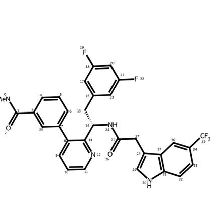 CNC(=O)c1cccc(-c2cccnc2[C@H](Cc2cc(F)cc(F)c2)NC(=O)Cc2c[nH]c3ccc(C(F)(F)F)cc23)c1